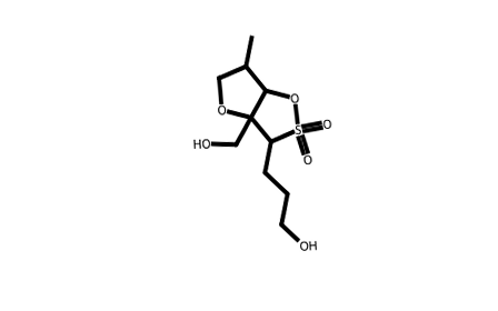 CC1COC2(CO)C1OS(=O)(=O)C2CCCO